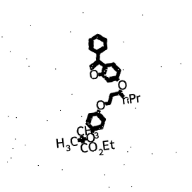 CCCC(CCOc1ccc(OC(C)(C)C(=O)OCC)cc1)Oc1ccc2c(-c3ccccc3)coc2c1